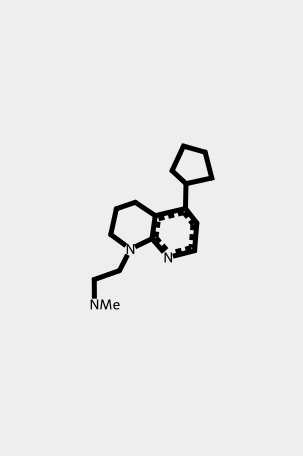 CNCCN1CCCc2c(C3CCCC3)ccnc21